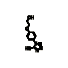 OCCOc1ccc(-n2nnnc2S)cc1